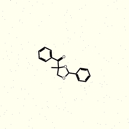 CC1(C(=O)c2ccccc2)COC(c2ccccc2)O1